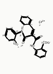 O=C(Nc1ccccc1C(=O)[O-])C(=Cc1ccccc1)C(=O)Nc1ccccc1C(=O)[O-].[Ca+2]